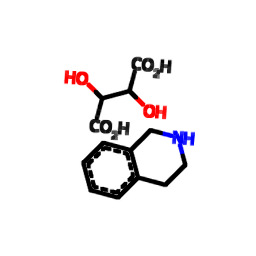 O=C(O)C(O)C(O)C(=O)O.c1ccc2c(c1)CCNC2